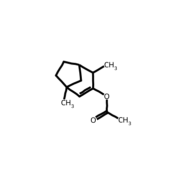 CC(=O)OC1=CC2(C)CCC(C2)C1C